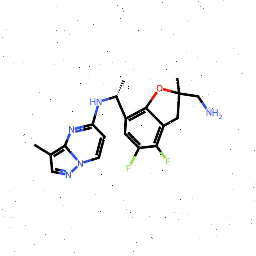 Cc1cnn2ccc(N[C@H](C)c3cc(F)c(F)c4c3OC(C)(CN)C4)nc12